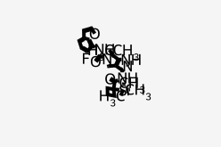 CC1(C)c2[nH]nc(NC(=O)C3([Si](C)(C)C)CCC3)c2CN1C(=O)Nc1c(F)ccc2ccoc12